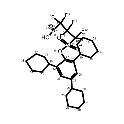 O=S(=O)(O)C(F)(F)C(F)(F)C(F)(F)S(=O)(=O)Oc1c(C2CCCCC2)cc(C2CCCCC2)cc1C1CCCCC1